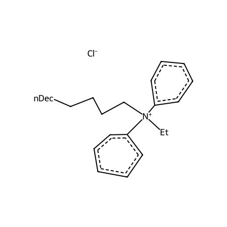 CCCCCCCCCCCCCC[N+](CC)(c1ccccc1)c1ccccc1.[Cl-]